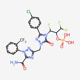 NC(=O)c1nc(Cn2nc(-c3ccc(Cl)cc3)n(C(F)C(OP(=O)(O)O)C(F)F)c2=O)nn1-c1ccccc1C(F)(F)F